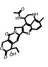 CC[C@@]1(O)C(=O)OCc2c1cc1n(c2=O)Cc2c-1nc1ccc(C)c3c1c2C(NC(C)=O)CN3